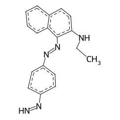 CCNc1ccc2ccccc2c1N=Nc1ccc(N=N)cc1